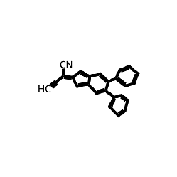 C#CC(C#N)=C1C=c2cc(-c3ccccc3)c(-c3ccccc3)cc2=C1